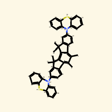 Cc1c(C)c2c(c3c1-c1ccc(N4c5ccccc5Sc5ccccc54)cc1C3(C)C)C(C)(C)c1cc(N3c4ccccc4Sc4ccccc43)ccc1-2